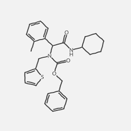 Cc1ccccc1C(C(=O)NC1CCCCC1)N(Cc1cccs1)C(=O)OCc1ccccc1